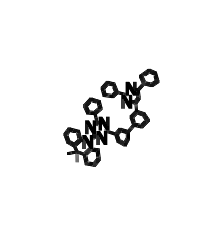 CC1(C)c2ccccc2N(c2nc(-c3ccccc3)nc(-c3cccc(-c4cccc(-c5cc(-c6ccccc6)nc(-c6ccccc6)n5)c4)c3)n2)c2ccccc21